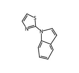 c1ccc2c(c1)ccn2-c1nccs1